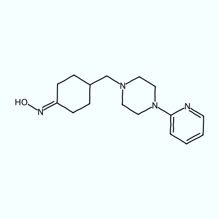 ON=C1CCC(CN2CCN(c3ccccn3)CC2)CC1